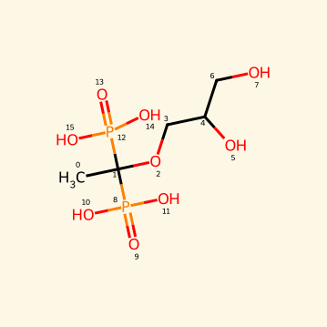 CC(OCC(O)CO)(P(=O)(O)O)P(=O)(O)O